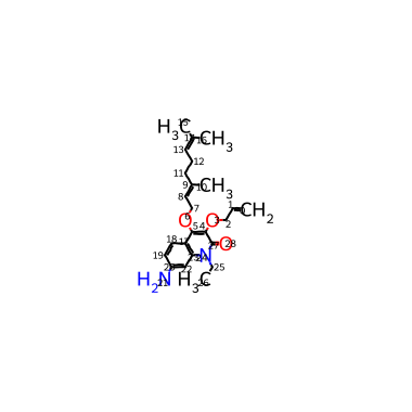 C=CCOc1c(OC/C=C(\C)CCC=C(C)C)c2ccc(N)cc2n(CC)c1=O